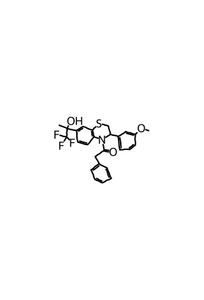 COc1cccc(C2CSc3cc(C(C)(O)C(F)(F)F)ccc3N2C(=O)Cc2ccccc2)c1